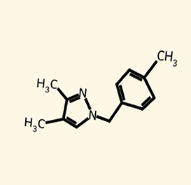 Cc1ccc(Cn2cc(C)c(C)n2)cc1